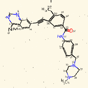 CNc1ncnc2cc(C#Cc3cc(C(=O)Nc4ccc(CN5CCN(C)CC5)cc4)ccc3C)ccc12